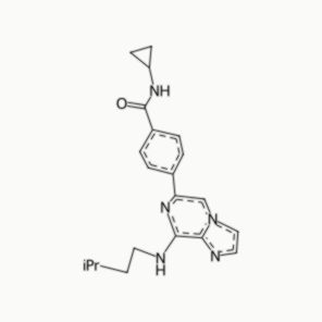 CC(C)CCNc1nc(-c2ccc(C(=O)NC3CC3)cc2)cn2ccnc12